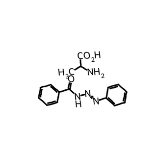 CC(N)C(=O)O.O=C(NN=Nc1ccccc1)c1ccccc1